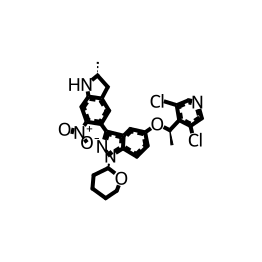 C[C@@H]1Cc2cc(-c3nn([C@H]4CCCCO4)c4ccc(O[C@H](C)c5c(Cl)cncc5Cl)cc34)c([N+](=O)[O-])cc2N1